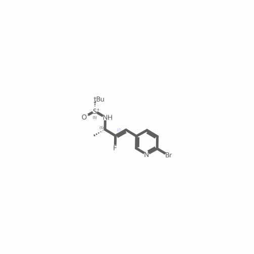 C[C@H](N[S@+]([O-])C(C)(C)C)/C(F)=C/c1ccc(Br)nc1